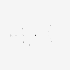 CCC(C(=O)[O-])C(=O)O.CCCC[N+](CCCC)(CCCC)CCCC